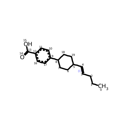 CCC/C=C/C1CCC(c2ccc(C(=O)O)cc2)CC1